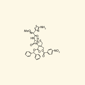 CON=C(C(=O)NC1C(=O)N2C(C(=O)OC(c3ccccc3)c3ccccc3)=C(COC(=O)c3ccc([N+](=O)[O-])cc3)CS[C@@H]12)c1csc(N)n1